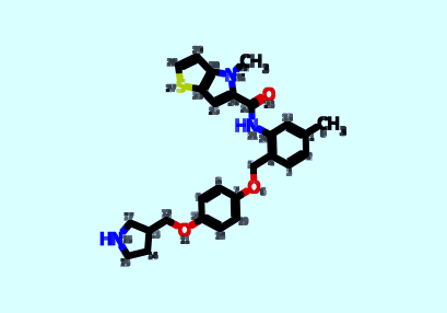 Cc1ccc(COc2ccc(OCC3CCNC3)cc2)c(NC(=O)c2cc3sccc3n2C)c1